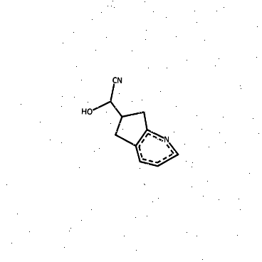 N#CC(O)C1Cc2cccnc2C1